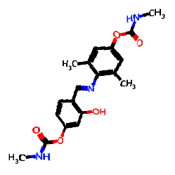 CNC(=O)Oc1cc(C)c(N=Cc2ccc(OC(=O)NC)cc2O)c(C)c1